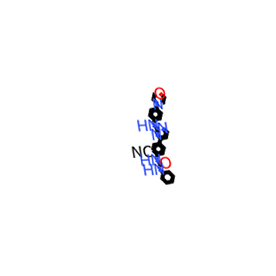 N#Cc1cc(-c2ccnc(Nc3ccc(N4CCOCC4)cc3)n2)ccc1NC(=O)NC1CCCCC1